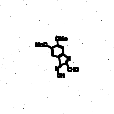 COc1cc2c(cc1OC)C(=NO)C(C=O)=N2